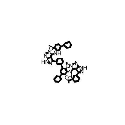 COc1ccc(-c2ccccc2)cc1Nc1ncnc2[nH]nc(-c3cccc(-c4cc(-c5ccccc5)cc(Nc5ncnc6[nH]nc(-c7cccc(C(C)=O)c7)c56)c4OC)c3)c12